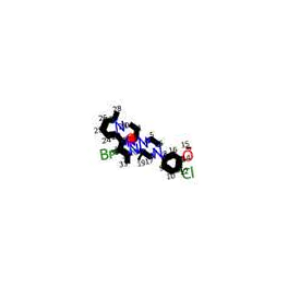 CCC(=O)N1CCN(c2ccc(Cl)c(OC)c2)C[C@]1(C)n1nc(-c2cccc(C)n2)c(Br)c1C